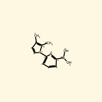 Cc1ccn(-c2cccc(B(O)O)n2)c1C